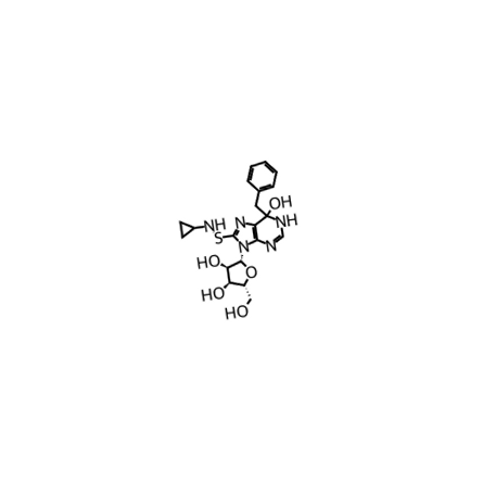 OC[C@H]1O[C@@H](n2c(SNC3CC3)nc3c2N=CNC3(O)Cc2ccccc2)[C@H](O)[C@@H]1O